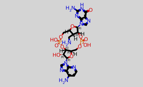 NC[C@H]1[C@H]2OP(=O)(O)OC[C@H]3O[C@@H](n4cnc5c(N)ccnc54)[C@H](O)[C@@H]3OP(=O)(O)OC[C@H]1O[C@H]2n1cnc2c(=O)[nH]c(N)nc21